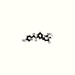 CN1C(=O)CC(C)(c2cccc(NC(=O)c3ccc(C#N)cn3)c2)N=C1N